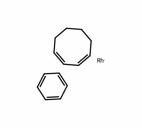 C1=CCCCCC=C1.[Rh].c1ccccc1